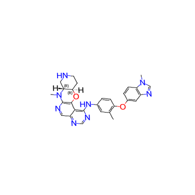 Cc1cc(Nc2ncnc3cnc4c(c23)O[C@@H]2CCNC[C@H]2N4C)ccc1Oc1ccc2c(c1)ncn2C